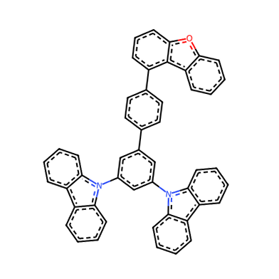 c1ccc2c(c1)oc1cccc(-c3ccc(-c4cc(-n5c6ccccc6c6ccccc65)cc(-n5c6ccccc6c6ccccc65)c4)cc3)c12